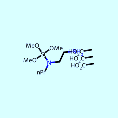 CC(=O)O.CC(=O)O.CC(=O)O.CCCN(CCN)[Si](OC)(OC)OC